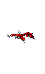 COc1cc(CN2CCN(C3CN(C4CCN(c5ccc(C(=O)NS(=O)(=O)c6ccc(NC[C@H]7CC[C@](C)(O)CC7)c([N+](=O)[O-])c6)c(N6c7cc8cc[nH]c8nc7O[C@H]7COCC[C@@H]76)c5)CC4)C3)[C@H](c3ccccc3C(C)C)C2)cnc1N1CCOCC1